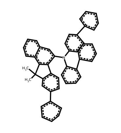 CC1(C)c2cc(-c3ccccc3)ccc2-c2c(N(c3ccc(-c4ccccc4)cc3)c3ccccc3-c3ccccc3)cc3ccccc3c21